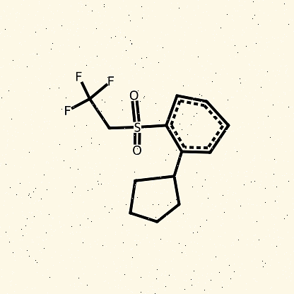 O=S(=O)(CC(F)(F)F)c1ccccc1C1CCCC1